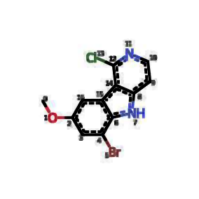 COc1cc(Br)c2[nH]c3ccnc(Cl)c3c2c1